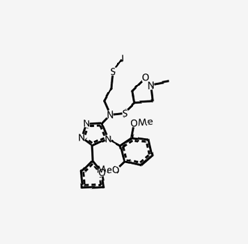 COc1cccc(OC)c1-n1c(-c2ccco2)nnc1N(CCSI)SC1CON(C)C1